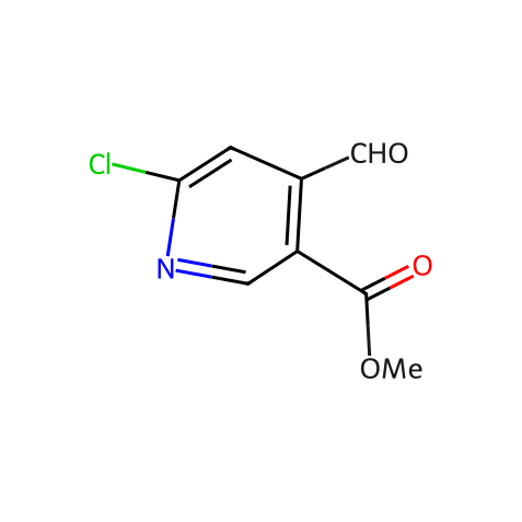 COC(=O)c1cnc(Cl)cc1C=O